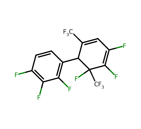 FC1=C(F)C(F)(C(F)(F)F)C(c2ccc(F)c(F)c2F)C(C(F)(F)F)=C1